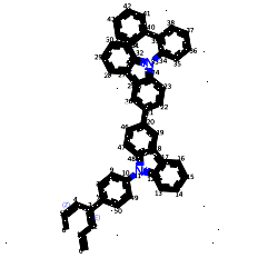 C=C/C=C(\C=C/C)c1ccc(-n2c3ccccc3c3cc(-c4ccc5c(c4)c4ccccc4n5-c4ccccc4-c4ccccc4)ccc32)cc1